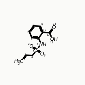 C=CCS(=O)(=O)Nc1ccccc1C(=O)O